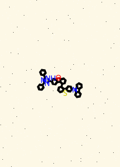 c1ccc(C2=NC(c3ccc4c(c3)oc3cccc(-c5cccc6sc7cc(-n8c9ccccc9c9ccccc98)ccc7c56)c34)NC(c3ccccc3)=N2)cc1